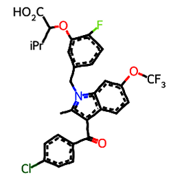 Cc1c(C(=O)c2ccc(Cl)cc2)c2ccc(OC(F)(F)F)cc2n1Cc1ccc(F)c(OC(C(=O)O)C(C)C)c1